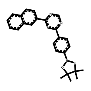 CC1(C)OB(c2ccc(-c3ncnc(-c4ccc5ccccc5c4)n3)cc2)OC1(C)C